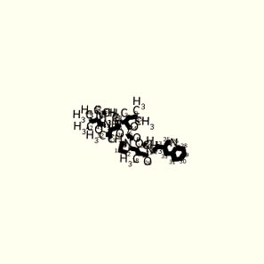 CC[C@H](C)C([C@@H](CC(=O)N1CCC[C@H]1[C@H](OC)[C@@H](C)C(=O)NCCc1cnc2ccccc2c1)OC)N(C)C(=O)[C@@H](NC(=O)C(C(C)C)N(C)C)C(C)C